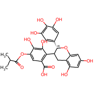 CC(C)C(=O)Oc1cc(C(=O)O)c(C2Cc3c(O)cc(O)cc3O[C@H]2c2cc(O)c(O)c(O)c2)c(O)c1O